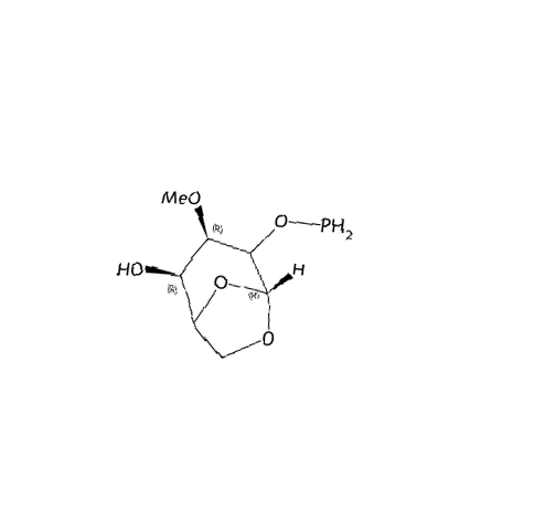 CO[C@H]1C(OP)[C@@H]2OCC(O2)[C@H]1O